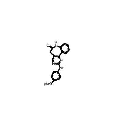 CSc1ccc(Nc2ncc3c(n2)-c2ccccc2NC(=O)C3)cc1